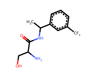 CC(NC(=O)C(N)CO)c1cccc(C(F)(F)F)c1